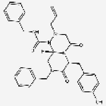 C=CCN1CC(=O)N2[C@@H](Cc3ccc(O)cc3)C(=O)N(Cc3ccccc3)C[C@@H]2N1C(=O)NCc1ccccc1